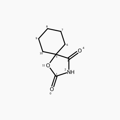 O=C1NC(=O)C2(CCCCC2)O1